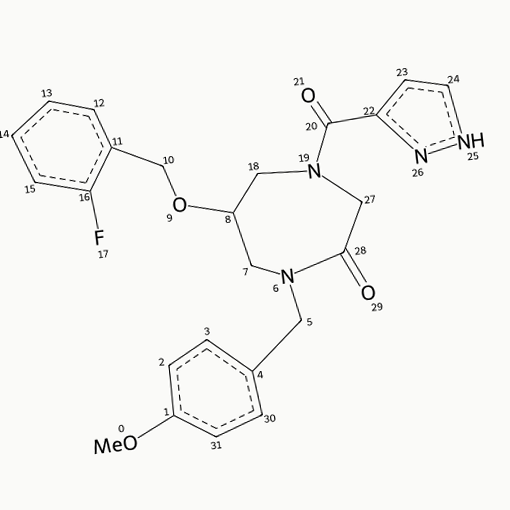 COc1ccc(CN2CC(OCc3ccccc3F)CN(C(=O)c3cc[nH]n3)CC2=O)cc1